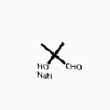 CC(C)(O)C=O.[NaH]